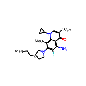 CNCC[C@@H]1CCN(c2c(F)c(N)c3c(=O)c(C(=O)O)cn(C4CC4)c3c2OC)C1